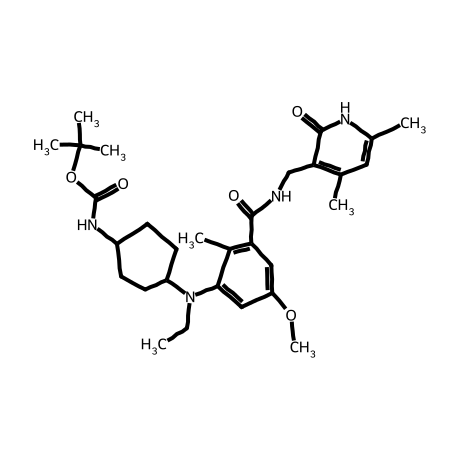 CCN(c1cc(OC)cc(C(=O)NCc2c(C)cc(C)[nH]c2=O)c1C)C1CCC(NC(=O)OC(C)(C)C)CC1